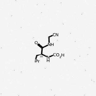 CC(C)C[C@H](NC(=O)O)C(=O)NCC#N